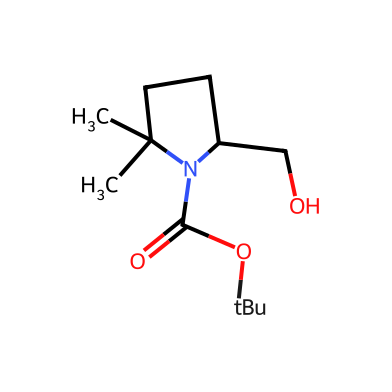 CC(C)(C)OC(=O)N1C(CO)CCC1(C)C